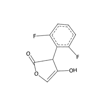 O=C1OC=C(O)C1c1c(F)cccc1F